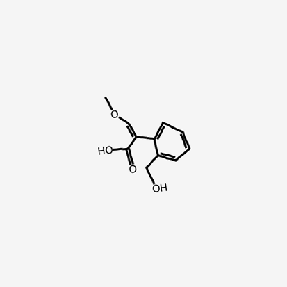 COC=C(C(=O)O)c1ccccc1CO